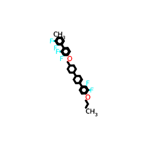 CCCCOc1ccc(C2=CCC(C3CCC(COc4ccc(-c5ccc(C)c(F)c5F)c(F)c4F)CC3)CC2)c(F)c1F